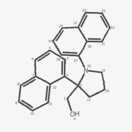 OCC1(c2cccc3ccccc23)CCCN1c1cccc2ccccc12